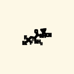 CCC(F)(F)C[C@H](N)C(=O)NC1(C#N)CC1